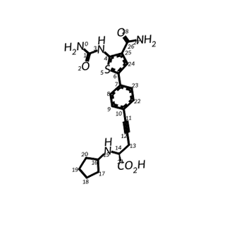 NC(=O)Nc1sc(-c2ccc(C#CC[C@H](NC3CCCC3)C(=O)O)cc2)cc1C(N)=O